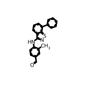 Cc1cc(C=O)ccc1Nc1nsc2c(-c3ccccc3)cccc12